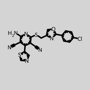 N#Cc1c(N)nc(SCc2coc(-c3ccc(Cl)cc3)n2)c(C#N)c1-c1cncs1